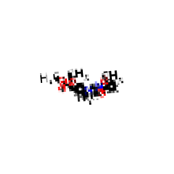 CCOC(=O)/C(=C/c1ccc2c(ccn2Cc2nc(-c3ccccc3OC)oc2C)c1)OCC